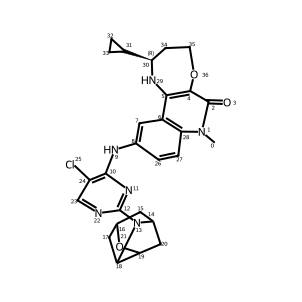 Cn1c(=O)c2c(c3cc(Nc4nc(N5C6CC7CC5C(C6)O7)ncc4Cl)ccc31)N[C@@H](C1CC1)CCO2